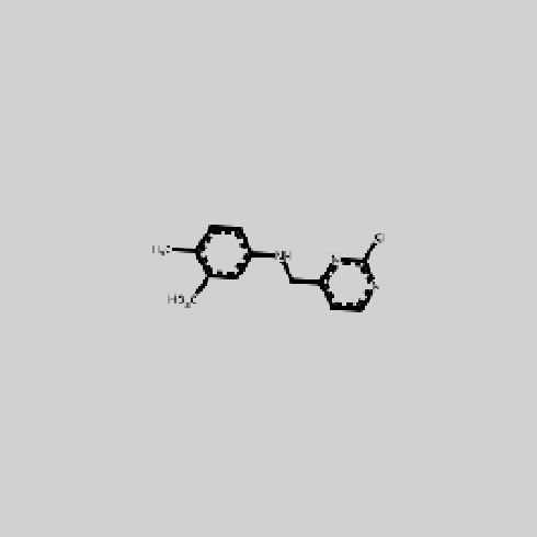 Cc1ccc(NCc2ccnc(Cl)n2)cc1C(=O)O